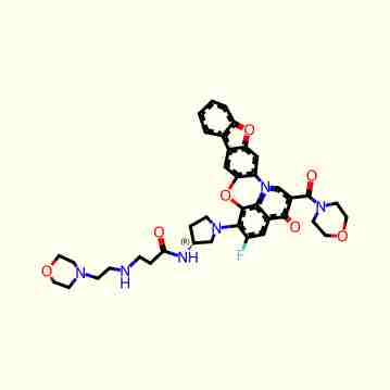 O=C(CCNCCN1CCOCC1)N[C@@H]1CCN(c2c(F)cc3c(=O)c(C(=O)N4CCOCC4)cn4c3c2Oc2cc3c(cc2-4)oc2ccccc23)C1